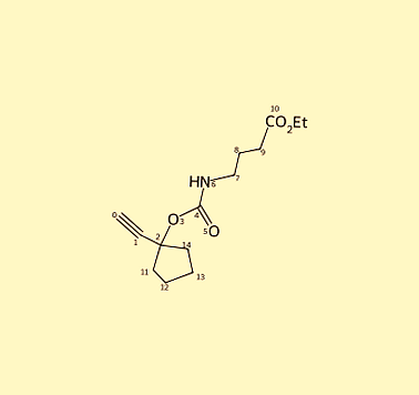 C#CC1(OC(=O)NCCCC(=O)OCC)CCCC1